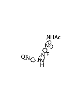 CC(=O)NC[C@H]1CN(c2ccc(N3CCNN(Cc4ccc(N5CCOCC5)cc4)CC3)c(F)c2)C(=O)O1